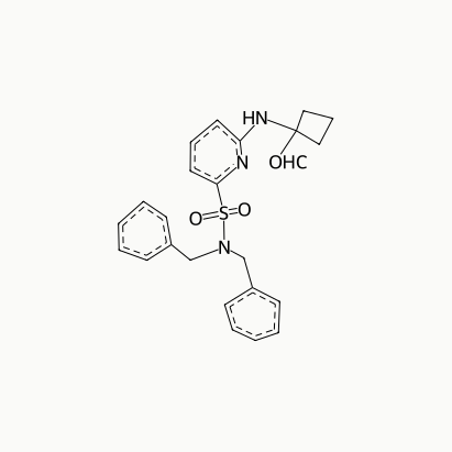 O=CC1(Nc2cccc(S(=O)(=O)N(Cc3ccccc3)Cc3ccccc3)n2)CCC1